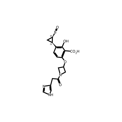 O=B[C@@H]1C[C@@H]1c1ccc(OC2CN(C(=O)Cc3c[nH]cn3)C2)c(C(=O)O)c1O